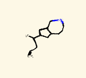 C=CCC(C)C1CC2CCNCC2C1